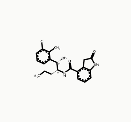 CCC[C@@H](NC(=O)c1cccc2c1CC(=O)N2)[C@@H](O)c1cccc(Cl)c1C